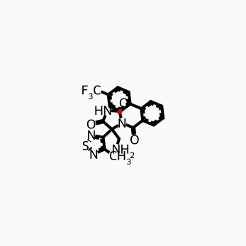 Cc1nsnc1C1(CN)C(=O)NC(=O)N1C(=O)c1ccccc1-c1ccc(C(F)(F)F)cc1